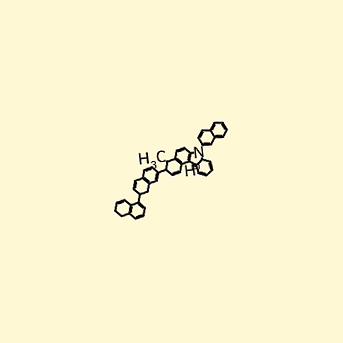 CC1c2ccc3c(c2C=CC1c1ccc2c(c1)CC(c1cccc4c1C=CCC4)C=C2)[C@@H]1C=CC=CC1N3c1ccc2ccccc2c1